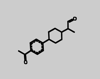 CC(=O)c1ccc(C2CCC(C(C)C=O)CC2)cc1